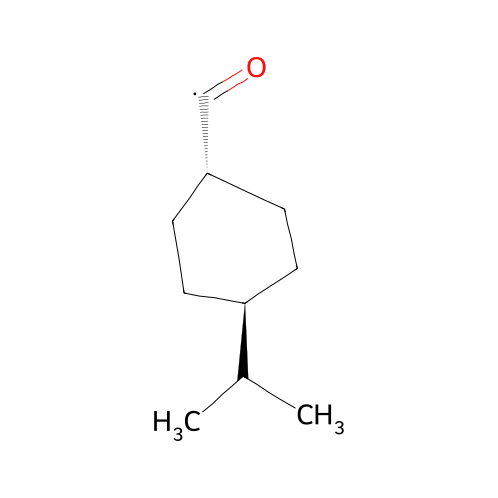 CC(C)[C@H]1CC[C@H]([C]=O)CC1